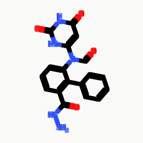 NNC(=O)c1cccc(N(C=O)c2cc(=O)[nH]c(=O)[nH]2)c1-c1ccccc1